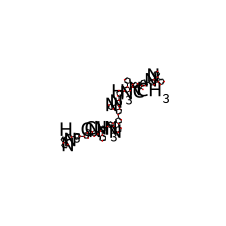 CC1(C)c2cc(-c3ccc4c5ccccc5c5cccnc5c4n3)ccc2-c2cc3c4ccccc4c4cc(-c5cccc(-c6ccc7c8ccc(-c9ccc%10c(c9)c9ccc(-c%11cnc%12c(c%11)c%11ccccc%11c%11cc%13c(nc%11%12)C(C)(C)c%11cc(-c%12ccc(-c%14ccc%15ccc%16cccnc%16c%15n%14)cc%12)ccc%11-%13)nc9c9ncccc%109)cc8c8cccnc8c7n6)c5)ncc4c3nc21